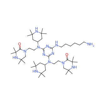 CC1(C)CC(N(CCN2CC(C)(C)NC(C)(C)C2=O)c2nc(NCCCCCCN)nc(N(CCN3CC(C)(C)NC(C)(C)C3=O)C3CC(C)(C)NC(C)(C)C3)n2)CC(C)(C)N1